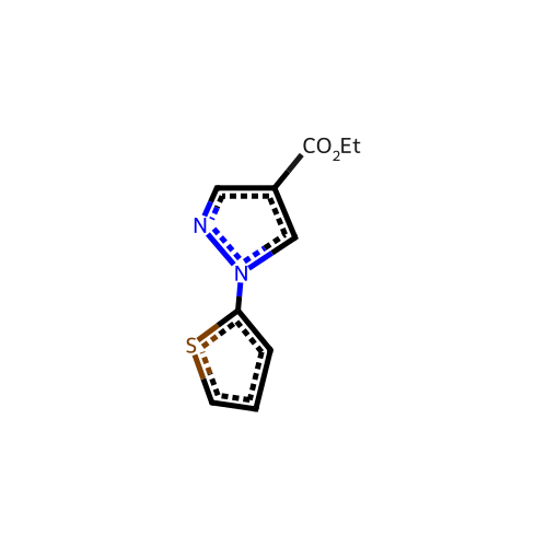 CCOC(=O)c1cnn(-c2cccs2)c1